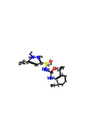 CC(C)c1cccc(C(C)C)c1NC(=O)N[S+]([O-])c1cc(C=O)n(C)n1